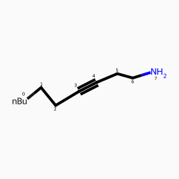 CCCCCCC#CCCN